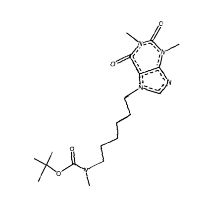 CN(CCCCCCn1cnc2c1c(=O)n(C)c(=O)n2C)C(=O)OC(C)(C)C